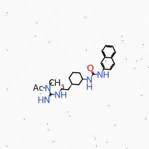 CC(=O)N(C)C(=N)NCC[C@H]1CCC[C@@H](NC(=O)Nc2ccc3ccccc3c2)C1